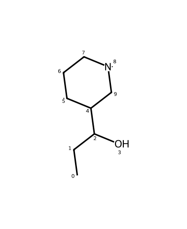 CCC(O)C1[CH]CC[N]C1